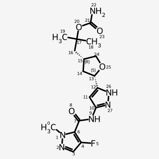 Cn1ncc(F)c1C(=O)Nc1cc([C@@H]2C[C@H](CC(C)(C)OC(N)=O)CO2)[nH]n1